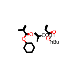 C=C(C)C(=O)O.C=C(C)C(=O)OC1CCCCC1.C=CC(=O)OCCCC